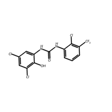 O=C(Nc1cc(Cl)cc(Cl)c1O)Nc1cccc(C(F)(F)F)c1Cl